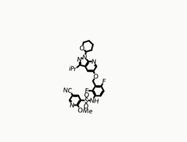 COc1ncc(C#N)cc1S(=O)(=O)Nc1ccc(F)c(COc2cnc3c(c2)c(C(C)C)nn3C2CCCCO2)c1F